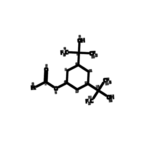 CCC(=O)OC1CC(C(O)(C(F)(F)F)C(F)(F)F)CC(C(O)(C(F)(F)F)C(F)(F)F)C1